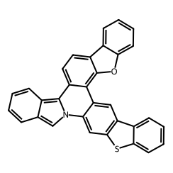 c1ccc2c(c1)cn1c3cc4sc5ccccc5c4cc3c3c(ccc4c5ccccc5oc43)c21